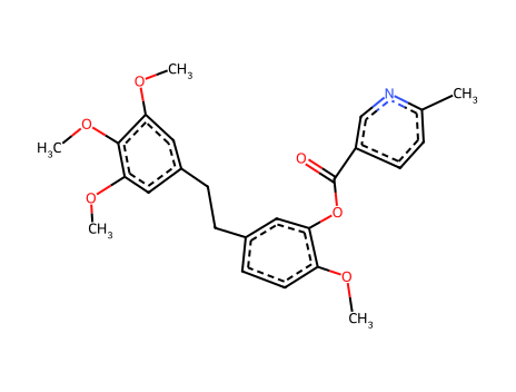 COc1ccc(CCc2cc(OC)c(OC)c(OC)c2)cc1OC(=O)c1ccc(C)nc1